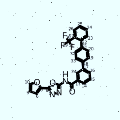 O=C(Nc1nnc(-c2ccco2)o1)c1cccc(-c2ccc(-c3ccccc3C(F)(F)F)cc2)c1